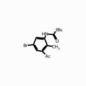 CC(=O)c1cc(Br)cc(NC(=O)C(C)(C)C)c1C